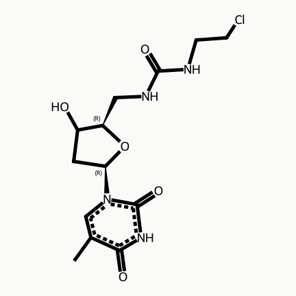 Cc1cn([C@H]2CC(O)[C@@H](CNC(=O)NCCCl)O2)c(=O)[nH]c1=O